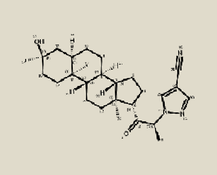 C[C@@H](C(=O)[C@H]1CC[C@H]2[C@@H]3CC[C@@H]4C[C@](C)(O)CC[C@]4(C)[C@H]3CC[C@]12C)n1cc(C#N)cn1